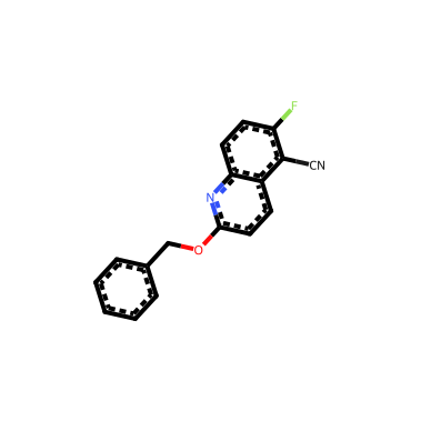 N#Cc1c(F)ccc2nc(OCc3ccccc3)ccc12